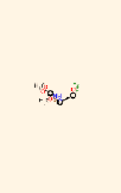 COC(=O)c1ccc(NSc2cccc(C#Cc3cccc(OC(F)(F)F)c3)n2)c(OC)c1